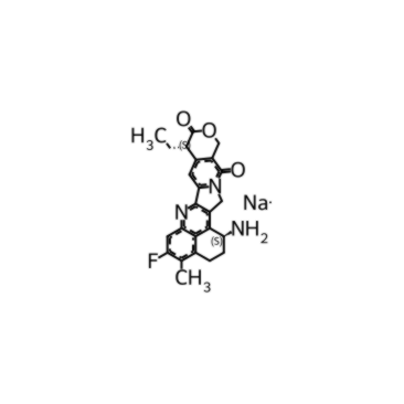 CC[C@@H]1C(=O)OCc2c1cc1n(c2=O)Cc2c-1nc1cc(F)c(C)c3c1c2[C@@H](N)CC3.[Na]